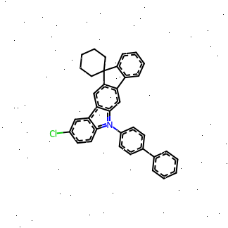 Clc1ccc2c(c1)c1cc3c(cc1n2-c1ccc(-c2ccccc2)cc1)-c1ccccc1C31CCCCC1